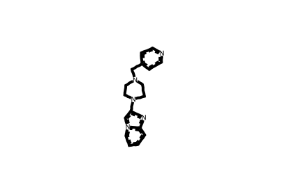 c1ccn2cc(N3CCN(Cc4ccncc4)CC3)nc2c1